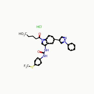 Cl.O=C(O)CCCC(=O)n1cc(NC(=O)Nc2ccc(SC(F)(F)F)cc2)c2cc(-c3cnn(-c4ccccc4)c3)ccc21